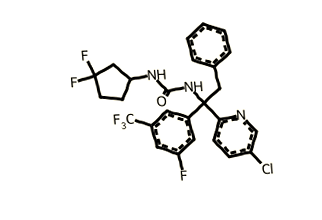 O=C(NC1CCC(F)(F)C1)NC(Cc1ccccc1)(c1cc(F)cc(C(F)(F)F)c1)c1ccc(Cl)cn1